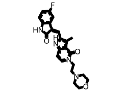 Cc1c(C=C2C(=O)Nc3ccc(F)cc32)[nH]c2ccn(CCN3CCOCC3)c(=O)c12